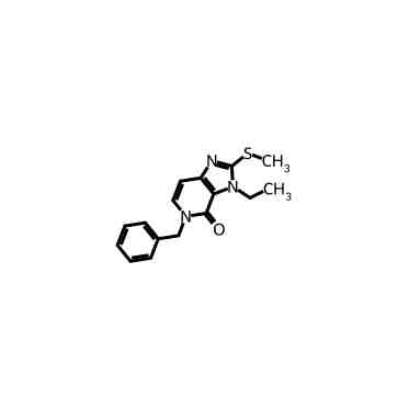 CCn1c(SC)nc2ccn(Cc3ccccc3)c(=O)c21